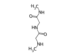 [CH2]NC(=O)CNC(=O)CNC